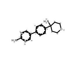 Nc1ncc(-c2ccc(C3(N)CCOCC3)cc2)cn1